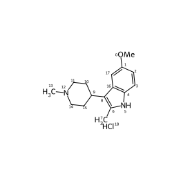 COc1ccc2[nH]c(C)c(C3CCN(C)CC3)c2c1.Cl